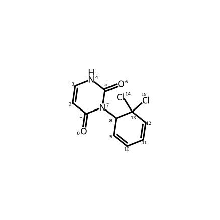 O=c1cc[nH]c(=O)n1C1C=CC=CC1(Cl)Cl